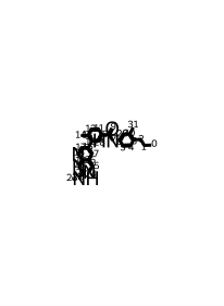 CCCc1ccc(NC(=O)c2ccc(C)c(-c3cnc4nc(NC)ncc4c3)c2)cc1C